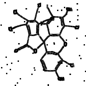 O=C1OC2(c3ccc(O)c(Cl)c3Oc3c(Cl)c(O)c(I)c(I)c32)c2c(Cl)c(Cl)c(Cl)c(Cl)c21